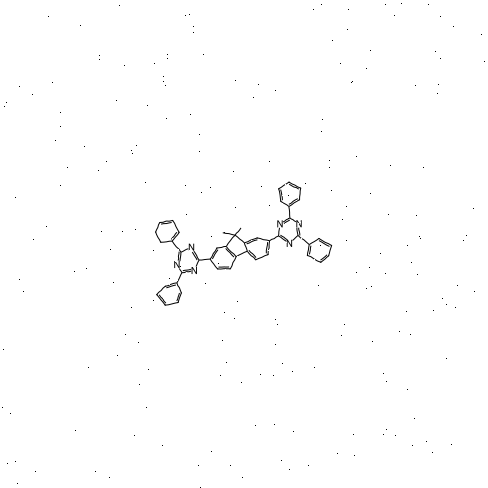 CC1(C)c2cc(-c3nc(C4=CC=CCC4)nc(-c4ccccc4)n3)ccc2-c2ccc(-c3nc(-c4ccccc4)nc(-c4ccccc4)n3)cc21